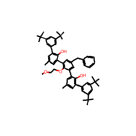 COCCOc1c(-c2cc(C)cc(-c3cc(C(C)(C)C)cc(C(C)(C)C)c3)c2O)cc(Cc2ccccc2)cc1-c1cc(C)cc(-c2cc(C(C)(C)C)cc(C(C)(C)C)c2)c1O